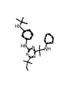 CCC(C)(C)c1nc(Nc2cccc(NC(C)(C)C)c2)nc(C(C)(C)Nc2ccccc2)n1